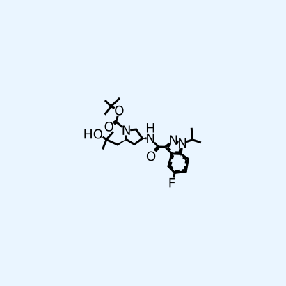 CC(C)n1nc(C(=O)N[C@H]2C[C@@H](CC(C)(C)O)N(C(=O)OC(C)(C)C)C2)c2cc(F)ccc21